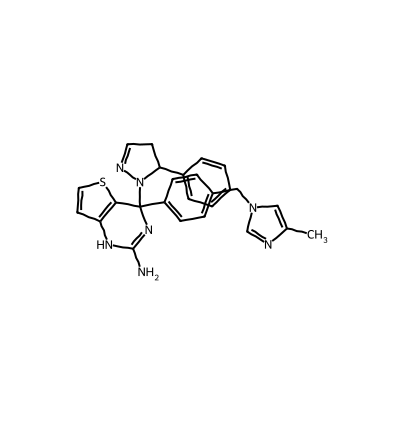 Cc1cn(Cc2ccc(C3(N4N=CCC4c4ccccc4)N=C(N)Nc4ccsc43)cc2)cn1